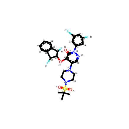 CC(C)(C)S(=O)(=O)N1CCN(c2cnn(-c3cc(F)cc(F)c3)c(=O)c2OC2C(F)c3ccccc3C2F)CC1